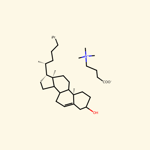 CC(C)CCC[C@@H](C)[C@H]1CCC2C3CC=C4CC(O)CC[C@]4(C)C3CC[C@@]21C.C[N+](C)(C)CCCC(=O)[O-]